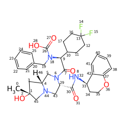 C[C@@]1(O)C[C@@H]2CN(C(=O)[C@H](C3CCC(F)(F)CC3)N(Cc3ccccc3)C(=O)O)[C@H](C(=O)N[C@@H]3CCOc4ccccc43)CN2C1